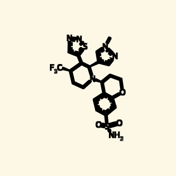 Cn1cc([C@@H]2C(c3cnns3)[C@H](C(F)(F)F)CCN2[C@H]2CCOc3cc(S(N)(=O)=O)ccc32)cn1